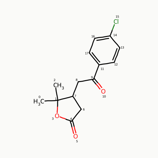 CC1(C)OC(=O)CC1CC(=O)c1ccc(Cl)cc1